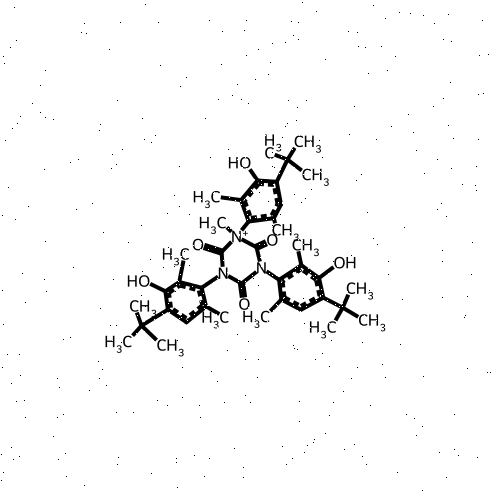 Cc1cc(C(C)(C)C)c(O)c(C)c1N1C(=O)N(c2c(C)cc(C(C)(C)C)c(O)c2C)C(=O)[N+](C)(c2c(C)cc(C(C)(C)C)c(O)c2C)C1=O